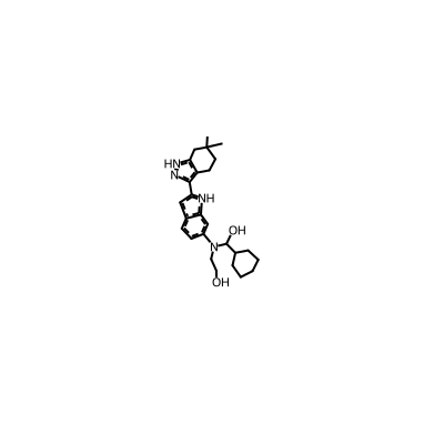 CC1(C)CCc2c(-c3cc4ccc(N(CCO)C(O)C5CCCCC5)cc4[nH]3)n[nH]c2C1